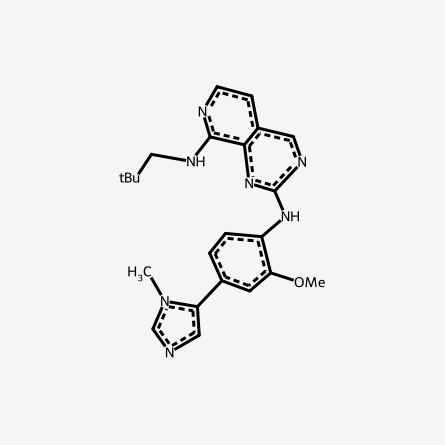 COc1cc(-c2cncn2C)ccc1Nc1ncc2ccnc(NCC(C)(C)C)c2n1